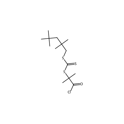 CC(C)(C)CC(C)(C)CSC(=S)SC(C)(C)C(=O)Cl